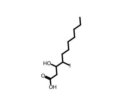 CCCCCCCC(I)C(O)CC(=O)O